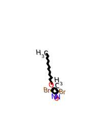 CCCCCCCCCCCCOc1c(C)c(Br)c2nonc2c1Br